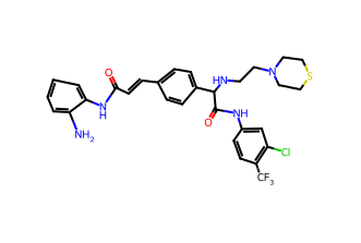 Nc1ccccc1NC(=O)C=Cc1ccc(C(NCCN2CCSCC2)C(=O)Nc2ccc(C(F)(F)F)c(Cl)c2)cc1